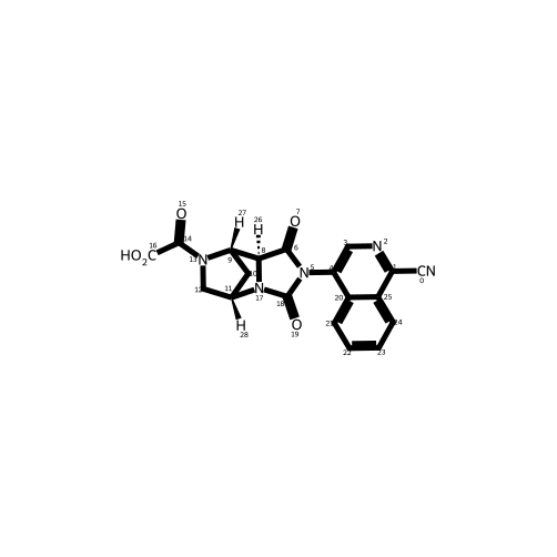 N#Cc1ncc(N2C(=O)[C@@H]3[C@@H]4C[C@@H](CN4C(=O)C(=O)O)N3C2=O)c2ccccc12